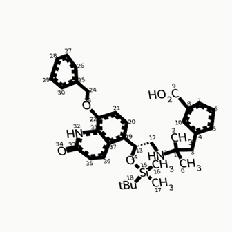 CC(C)(Cc1cccc(C(=O)O)c1)NC[C@H](O[Si](C)(C)C(C)(C)C)c1ccc(OCc2ccccc2)c2[nH]c(=O)ccc12